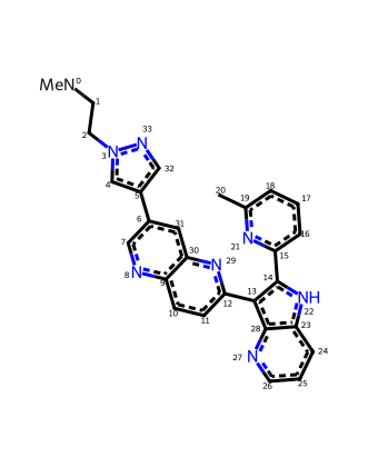 CNCCn1cc(-c2cnc3ccc(-c4c(-c5cccc(C)n5)[nH]c5cccnc45)nc3c2)cn1